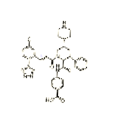 O=C(O)c1ccc(NC(=O)C2C(c3ccccc3)CC(N3CCNCC3)CN2C(=O)/C=C/c2cc(Cl)ccc2-n2cnnn2)cc1